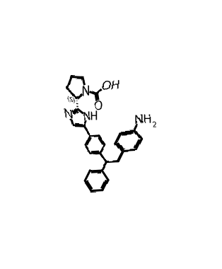 Nc1ccc(CC(c2ccccc2)c2ccc(-c3cnc([C@@H]4CCCN4C(=O)O)[nH]3)cc2)cc1